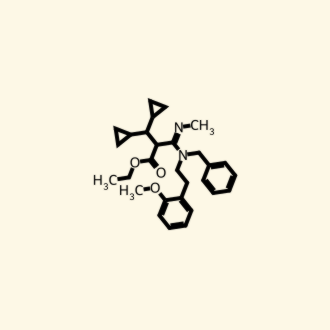 CCOC(=O)C(/C(=N/C)N(CCc1ccccc1OC)Cc1ccccc1)C(C1CC1)C1CC1